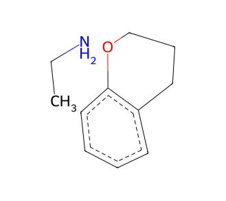 CCN.c1ccc2c(c1)CCCO2